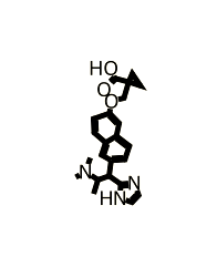 CC(C(c1ccc2cc(OCC3(C(=O)O)CC3)ccc2c1)c1ncc[nH]1)N(C)C